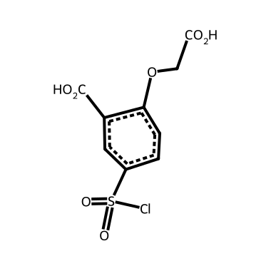 O=C(O)COc1ccc(S(=O)(=O)Cl)cc1C(=O)O